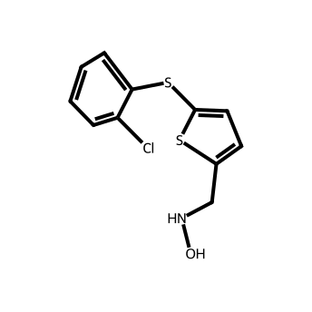 ONCc1ccc(Sc2ccccc2Cl)s1